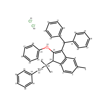 Cc1ccc2c(c1)C(C(c1ccccc1)c1ccccc1)=C(Oc1ccccc1)C2[Si](C)(C)[Ti+2][c]1ccccc1.[Cl-].[Cl-]